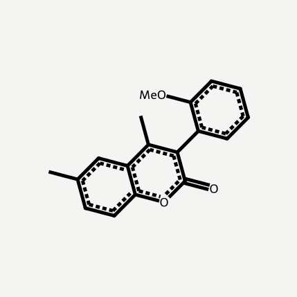 COc1ccccc1-c1c(C)c2cc(C)ccc2oc1=O